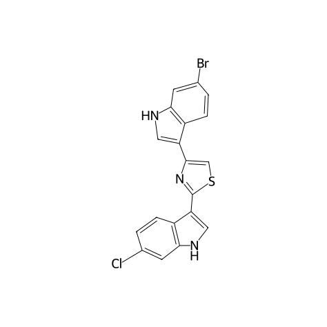 Clc1ccc2c(-c3nc(-c4c[nH]c5cc(Br)ccc45)cs3)c[nH]c2c1